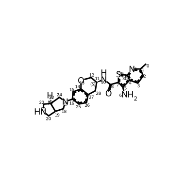 Cc1ccc2c(N)c(C(=O)N[C@@H]3COc4cc(N5CC6CNC[C@H]6C5)ccc4C3)sc2n1